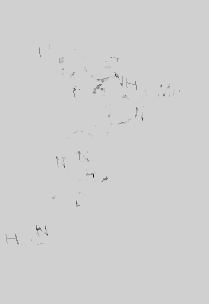 COc1ncc(-c2ccc3ncc(OC4CCN(C)CC4)c(=O)n3c2)cc1NS(=O)(=O)c1ccc(F)cc1Cl